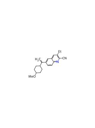 C=C(c1ccc2nc(C#N)c(CC)cc2c1)C1CCC(OC)CC1